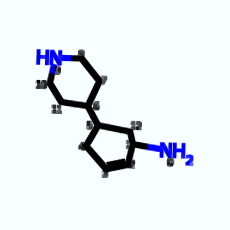 NC1C=CCC(C2CCNCC2)C1